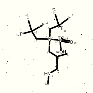 CNCC(C)C[N+](CC(F)(F)F)(CC(F)(F)F)P(=O)(O)O